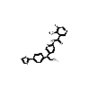 C/C=C(/c1ccc(-c2nccs2)cc1)c1ccc(NC(=O)c2cncc(F)c2C)nc1